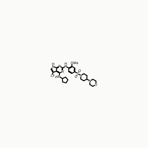 COc1cc(S(=O)(=O)N2CCC(N3CCOCC3)CC2)ccc1Nc1nc(NC2CCCC2)c2c(C(F)(F)F)c[nH]c2n1